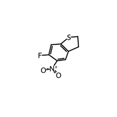 O=[N+]([O-])c1cc2c(cc1F)SCC2